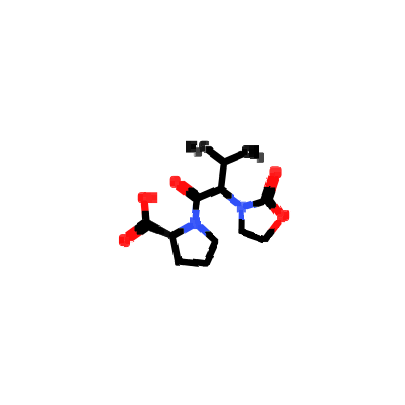 CC(C)C(C(=O)N1CCC[C@H]1C(=O)O)N1CCOC1=O